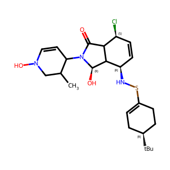 CC1CN(O)C=CC1N1C(=O)C2C([C@H]1O)[C@H](NSC1=CC[C@H](C(C)(C)C)CC1)C=C[C@@H]2Cl